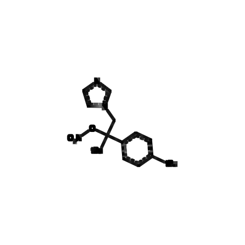 CC(C)(C)c1ccc(C(Cn2ccnc2)(O[N+](=O)[O-])C(C)(C)C)cc1